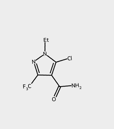 CCn1nc(C(F)(F)F)c(C(N)=O)c1Cl